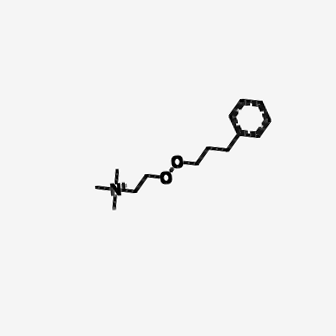 C[N+](C)(C)CCOOCCCc1ccccc1